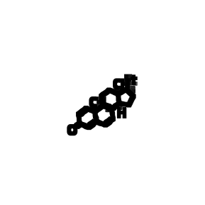 CC[C@H]1CC[C@H]2C3=C(CC[C@]12C)[C@@]1(C)C=CC(=O)C=C1C=C3